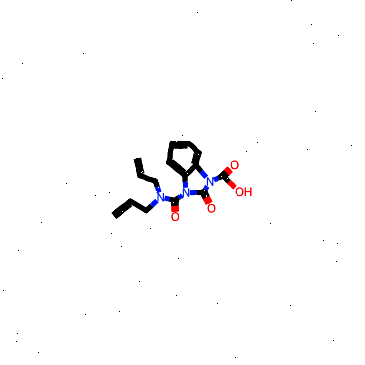 C=CCN(CC=C)C(=O)n1c(=O)n(C(=O)O)c2ccccc21